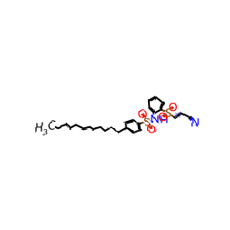 CCCCCCCCCCCCc1ccc(S(=O)(=O)Nc2ccccc2S(=O)(=O)/C=C/C#N)cc1